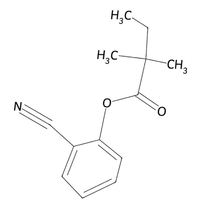 CCC(C)(C)C(=O)Oc1ccccc1C#N